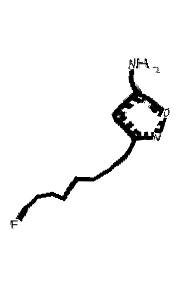 Nc1cc(CCCCF)no1